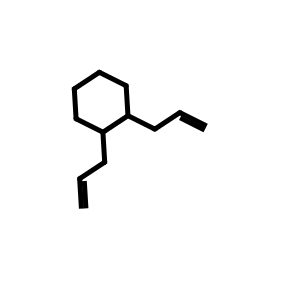 C=CC[C]1CCCCC1CC=C